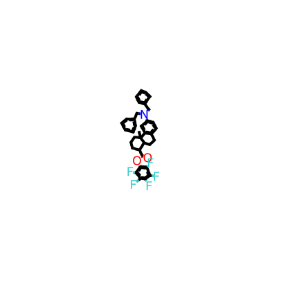 CC12CCCC(C(=O)Oc3c(F)c(F)c(F)c(F)c3F)C1CCc1ccc(N(Cc3ccccc3)Cc3ccccc3)cc12